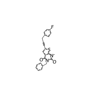 Cn1c(=O)n(Cc2ccccc2)c(=O)c2cc(C#CCc3ccc(F)cc3)sc21